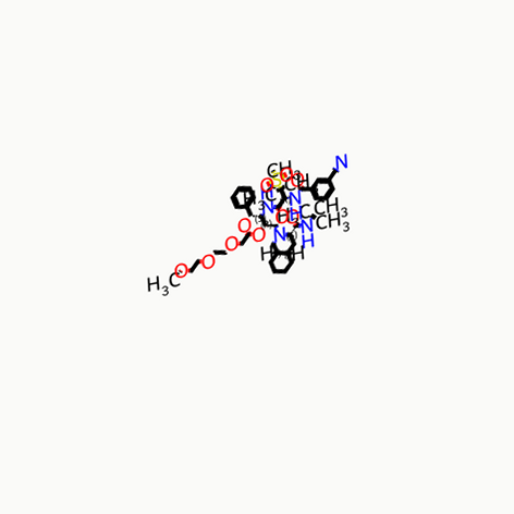 COCCOCCOCC(=O)O[C@H](CN1C[C@H]2CCCC[C@H]2C[C@H]1C(=O)NC(C)(C)C)[C@H](Cc1ccccc1)NC(=O)[C@@H](NC(=O)c1cccc(C#N)c1)C(C)(C)S(C)(=O)=O